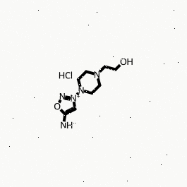 Cl.[NH-]c1c[n+](N2CCN(CCO)CC2)no1